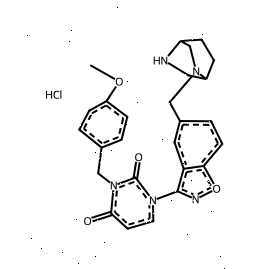 COc1ccc(Cn2c(=O)ccn(-c3noc4ccc(CN5CC6CCC5CN6)cc34)c2=O)cc1.Cl